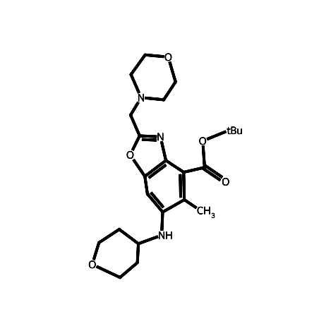 Cc1c(NC2CCOCC2)cc2oc(CN3CCOCC3)nc2c1C(=O)OC(C)(C)C